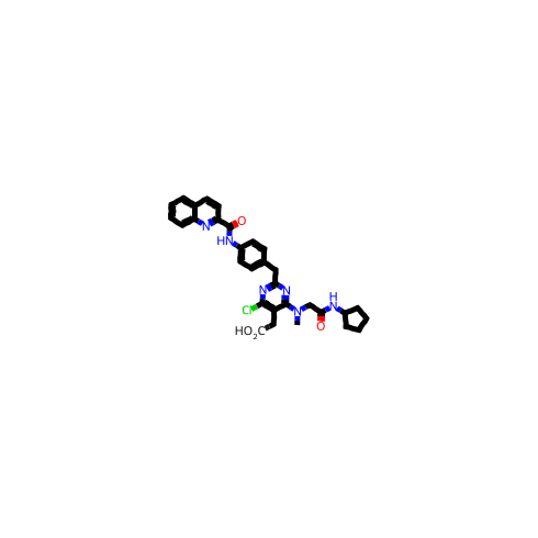 CN(CC(=O)NC1CCCC1)c1nc(Cc2ccc(NC(=O)c3ccc4ccccc4n3)cc2)nc(Cl)c1CC(=O)O